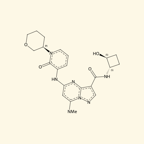 CNc1cc(Nc2cccn([C@@H]3CCCOC3)c2=O)nc2c(C(=O)N[C@H]3CC[C@@H]3O)cnn12